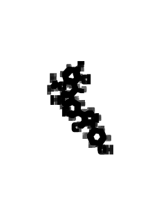 C[C@H](c1c(OC(F)F)ccc(F)c1Cl)c1c[nH]c2ncc(-c3cnn([C@H]4CC[C@H](O)CC4)c3Cl)cc12